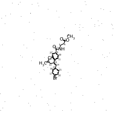 COC(=O)CCNC(=O)c1ccc(C(=Cc2ccc(Br)cc2)CC(C)C)cc1